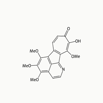 COc1c2c(ccc(=O)c1O)-c1c(OC)c(OC)c(OC)c3ccnc-2c13